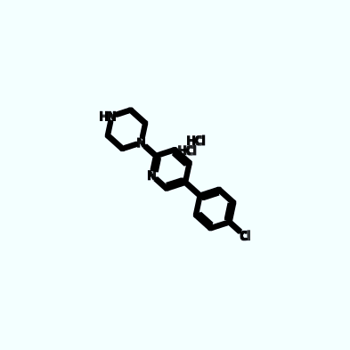 Cl.Cl.Clc1ccc(-c2ccc(N3CCNCC3)nc2)cc1